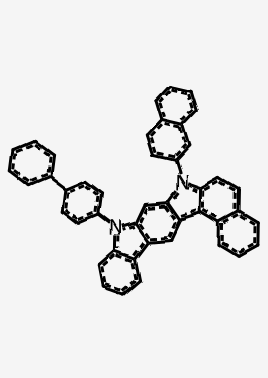 c1ccc(-c2ccc(-n3c4ccccc4c4cc5c6c7ccccc7ccc6n(-c6ccc7ccccc7c6)c5cc43)cc2)cc1